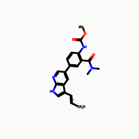 CN(C)C(=O)c1cc(-c2cnc3[nH]cc(/C=C/C(=O)O)c3c2)ccc1NC(=O)OC(C)(C)C